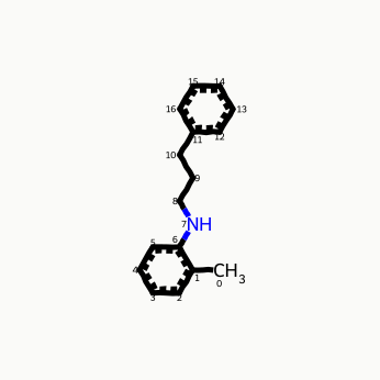 Cc1ccccc1NCCCc1ccccc1